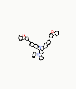 c1ccc(-n2c3ccccc3c3cc4c5cc6ccc(-c7ccc8oc9ccccc9c8c7)cc6cc5n5c6cc7cc(-c8ccc9oc%10ccccc%10c9c8)ccc7cc6c(c32)c45)cc1